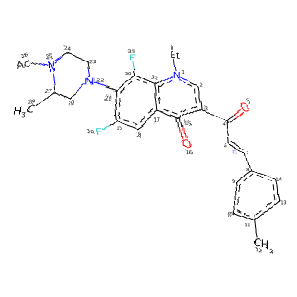 CCn1cc(C(=O)/C=C/c2ccc(C)cc2)c(=O)c2cc(F)c(N3CCN(C(C)=O)C(C)C3)c(F)c21